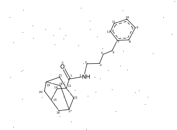 O=C(NCCCCc1ccccc1)C12CC3CC(CC(C3)C1)C2